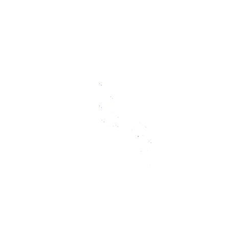 CN1CCN(Cc2c(N)ncnc2Oc2ccc(NC(=O)OC(C)(C)C)cc2F)CC1